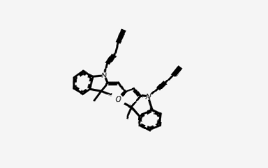 C#CC#CN1/C(=C/C(=O)/C=C2/N(C#CC#C)c3ccccc3C2(C)C)C(C)(C)c2ccccc21